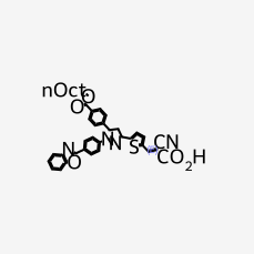 CCCCCCCCOC(=O)c1ccc(C2CC(c3ccc(/C=C(\C#N)C(=O)O)s3)=NN2c2ccc(-c3nc4ccccc4o3)cc2)cc1